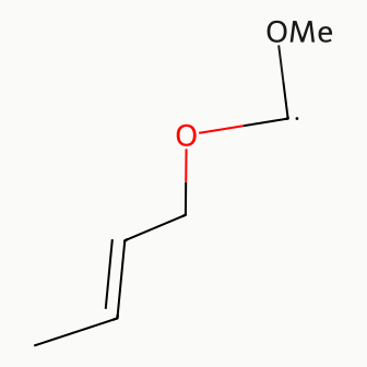 CC=CCO[CH]OC